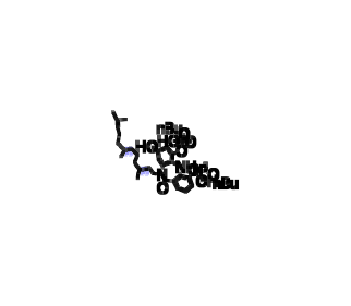 C=P(O)(OCCCC)Oc1cccc2c1Nc1c(OP(=O)(O)OCCCC)cc(O)cc1N(C/C=C(\C)CC/C=C(\C)CCC=C(C)C)C2=O